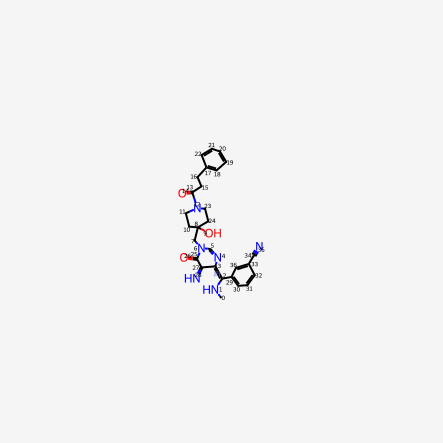 CN/C(=C1/N=CN(CC2(O)CCN(C(=O)CCc3ccccc3)CC2)C(=O)C1=N)c1cccc(C#N)c1